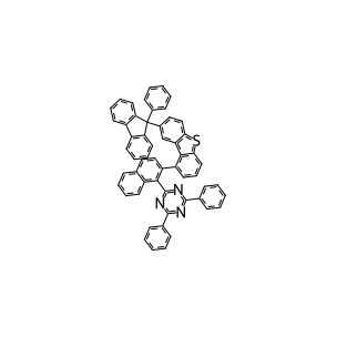 c1ccc(-c2nc(-c3ccccc3)nc(-c3c(-c4cccc5sc6ccc(C7(c8ccccc8)c8ccccc8-c8ccccc87)cc6c45)ccc4ccccc34)n2)cc1